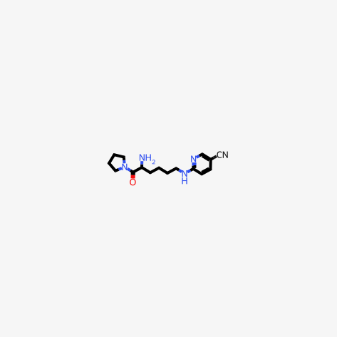 N#Cc1ccc(NCCCCC(N)C(=O)N2CCCC2)nc1